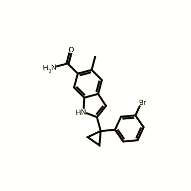 Cc1cc2cc(C3(c4cccc(Br)c4)CC3)[nH]c2cc1C(N)=O